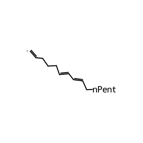 [CH]=CCCCC=CC=CCCCCCC